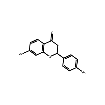 CC(=O)c1ccc(C2CC(=O)c3ccc(C(C)=O)cc3O2)cc1